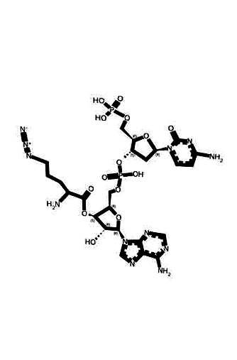 [N-]=[N+]=NCCCC(N)C(=O)O[C@H]1[C@@H](O)[C@H](n2cnc3c(N)ncnc32)O[C@@H]1COP(=O)(O)O[C@H]1C[C@H](n2ccc(N)nc2=O)O[C@@H]1COP(=O)(O)O